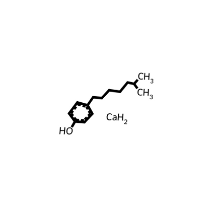 CC(C)CCCCCc1ccc(O)cc1.[CaH2]